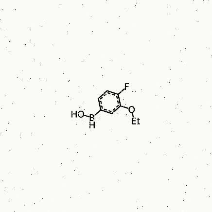 CCOc1cc(BO)ccc1F